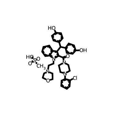 CS(=O)(=O)O.O=C(c1c(C(c2ccc(O)cc2)c2ccc(O)cc2)c2ccccc2n1CCN1CCOCC1)N1CCN(c2ccccc2Cl)CC1